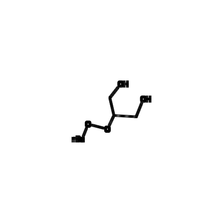 CCCCOOC(CO)CO